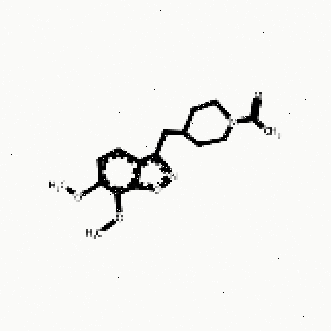 COc1ccc2c(CC3CCN(C(C)=O)CC3)noc2c1OC